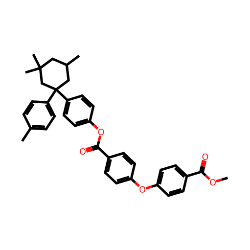 COC(=O)c1ccc(Oc2ccc(C(=O)Oc3ccc(C4(c5ccc(C)cc5)CC(C)CC(C)(C)C4)cc3)cc2)cc1